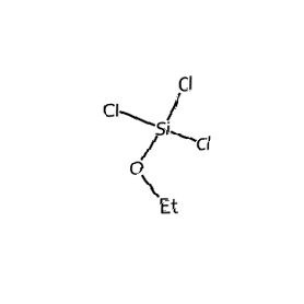 CCO[Si](Cl)(Cl)Cl